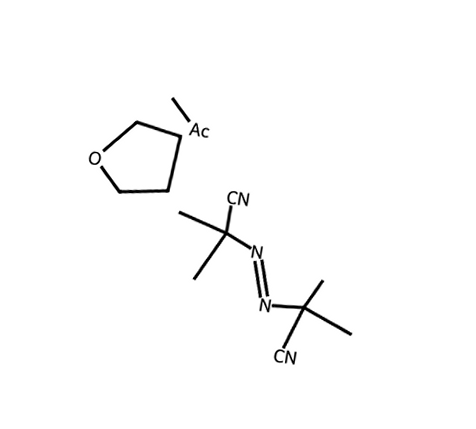 C1CCOC1.CC(C)(C#N)N=NC(C)(C)C#N.CC(C)=O